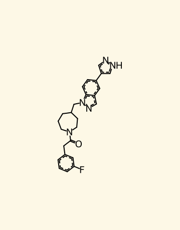 O=C(Cc1cccc(F)c1)N1CCCC(Cn2ncc3cc(-c4cn[nH]c4)ccc32)CC1